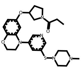 CCC(=O)N1CCC(Oc2ccc3c(c2)N(c2cncc(SN4CCN(C)CC4)c2)CCO3)C1